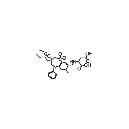 CCCCC1(CCCC)CN(c2ccccc2)c2cc(C)c(CNC(CC(=O)O)C(=O)O)cc2S(=O)(=O)C1